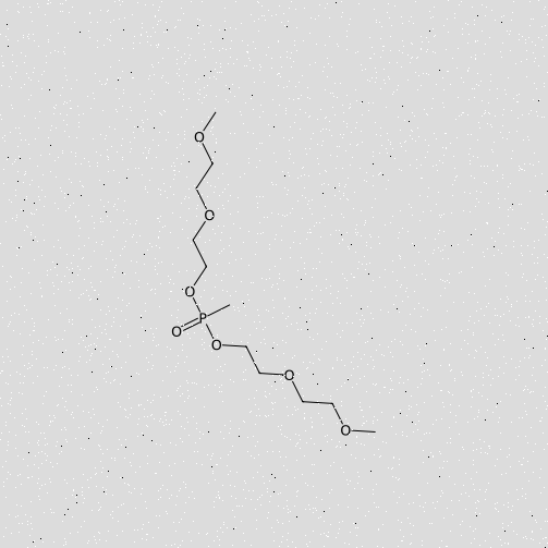 COCCOCCOP(C)(=O)OCCOCCOC